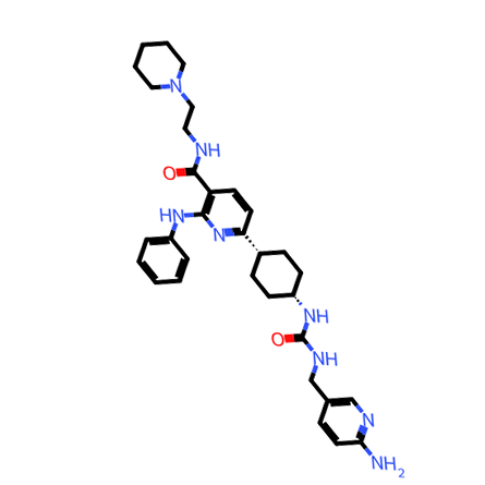 Nc1ccc(CNC(=O)N[C@H]2CC[C@@H](c3ccc(C(=O)NCCN4CCCCC4)c(Nc4ccccc4)n3)CC2)cn1